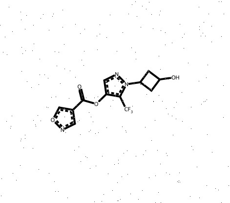 O=C(Oc1cnn(C2CC(O)C2)c1C(F)(F)F)c1cnoc1